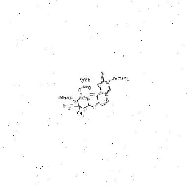 CNC(=O)O[C@@H]1[C@H](O)C(Oc2ccc3cc(NC(C)=O)c(=O)oc3c2)OC(C)(C)[C@@H]1OC